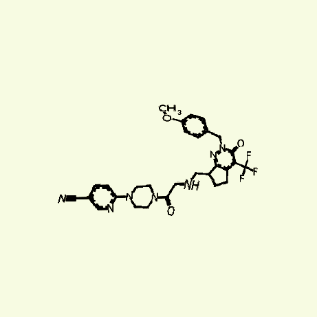 COc1ccc(Cn2nc3c(c(C(F)(F)F)c2=O)CCC3CNCC(=O)N2CCN(c3ccc(C#N)cn3)CC2)cc1